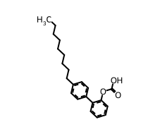 CCCCCCCCCc1ccc(-c2ccccc2OC(=O)O)cc1